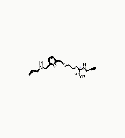 C#CCN/C(=N/CCSCc1ccc(CNCC=C)o1)NC#N